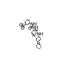 O=C(Nc1cccc([N+](=O)[O-])c1)Nc1ccnc(Nc2ccc(N3CCCCC3)cc2)n1